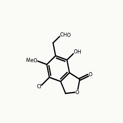 COc1c(Cl)c2c(c(O)c1CC=O)C(=O)OC2